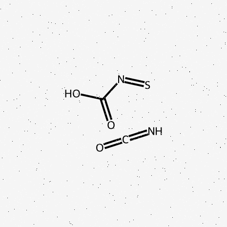 N=C=O.O=C(O)N=S